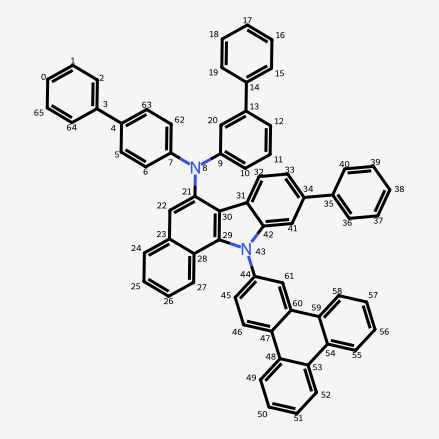 c1ccc(-c2ccc(N(c3cccc(-c4ccccc4)c3)c3cc4ccccc4c4c3c3ccc(-c5ccccc5)cc3n4-c3ccc4c5ccccc5c5ccccc5c4c3)cc2)cc1